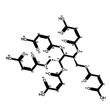 O=C(O)/C=C\C(=O)OC[C@H](OC(=O)/C=C\C(=O)O)[C@H](OC(=O)/C=C\C(=O)O)[C@@H](COC(=O)/C=C\C(=O)O)OC(=O)/C=C\C(=O)O